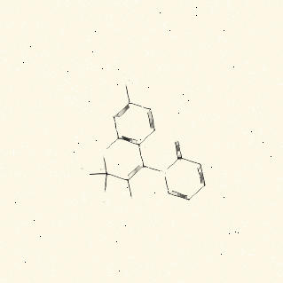 CC1=C(n2ccccc2=O)c2ccc(C#N)cc2OC1(C)C